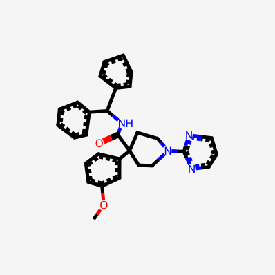 COc1cccc(C2(C(=O)NC(c3ccccc3)c3ccccc3)CCN(c3ncccn3)CC2)c1